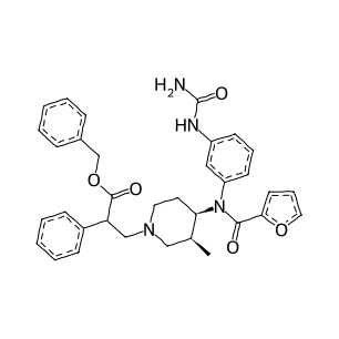 C[C@H]1CN(CC(C(=O)OCc2ccccc2)c2ccccc2)CC[C@H]1N(C(=O)c1ccco1)c1cccc(NC(N)=O)c1